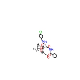 CC1(C)O[C@H]2CCC(=O)O[C@H](c3ccccc3)CNC(=O)[C@H](CC(=O)NCc3ccc(Cl)cc3)C[C@@H]2O1